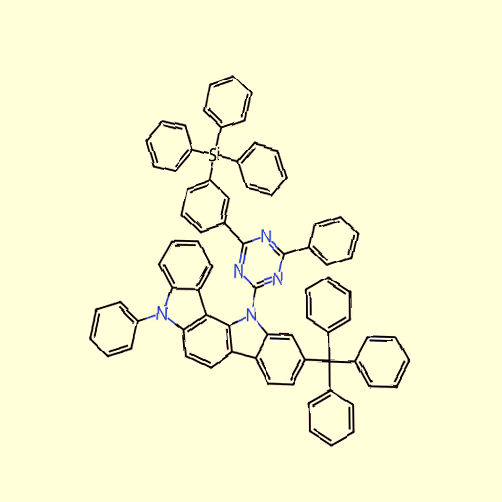 c1ccc(-c2nc(-c3cccc([Si](c4ccccc4)(c4ccccc4)c4ccccc4)c3)nc(-n3c4cc(C(c5ccccc5)(c5ccccc5)c5ccccc5)ccc4c4ccc5c(c6ccccc6n5-c5ccccc5)c43)n2)cc1